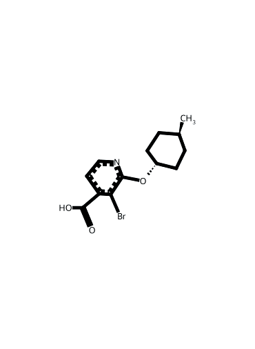 C[C@H]1CC[C@H](Oc2nccc(C(=O)O)c2Br)CC1